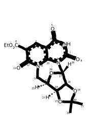 CCOC(=O)c1cc2c(=O)[nH]c(=O)n3c2n(c1=O)C[C@H]1O[C@H]3C2OC(C)(C)O[C@H]21